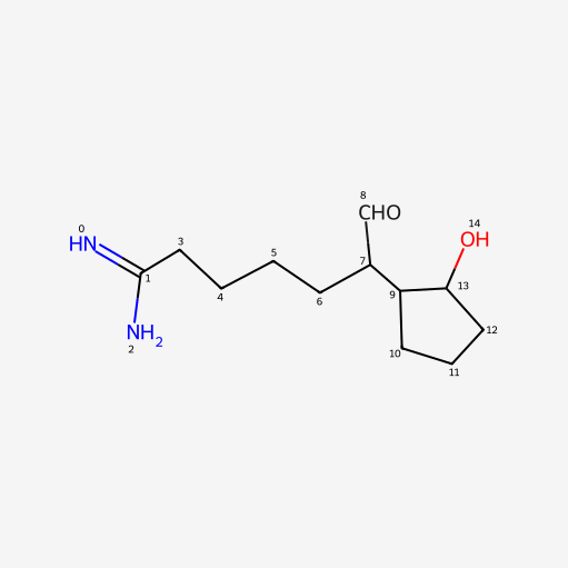 N=C(N)CCCCC(C=O)C1CCCC1O